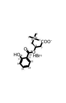 Br.C[N+](C)(C)C[C@@H](CC(=O)[O-])OC(=O)c1ccccc1O